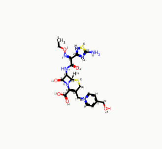 CCON=C(C(=O)NC1C(=O)N2C(C(=O)[O-])=C(C[n+]3ccc(CO)cc3)CS[C@@H]12)c1nsc(N)n1